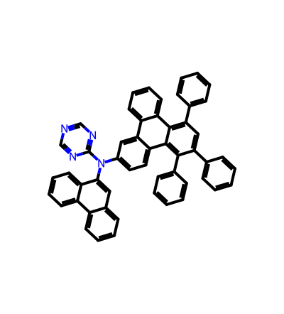 c1ccc(-c2cc(-c3ccccc3)c3c4ccccc4c4cc(N(c5ncncn5)c5cc6ccccc6c6ccccc56)ccc4c3c2-c2ccccc2)cc1